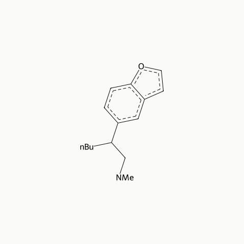 CCCCC(CNC)c1ccc2occc2c1